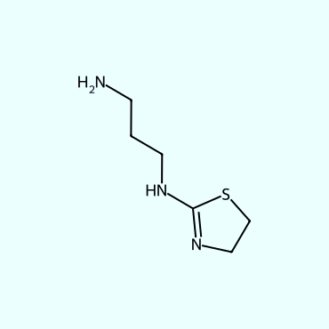 NCCCNC1=NCCS1